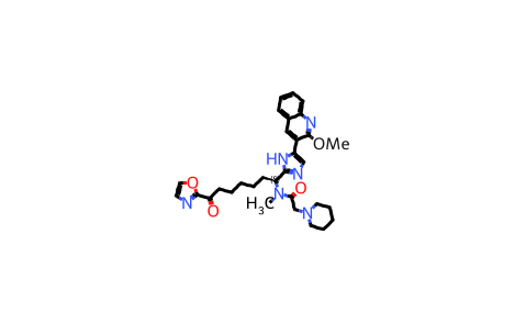 COc1nc2ccccc2cc1-c1cnc([C@H](CCCCCC(=O)c2ncco2)N(C)C(=O)CN2CCCCC2)[nH]1